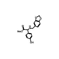 COC(=O)C(NCc1ccc2c(c1)OCO2)c1ccc(O)cc1